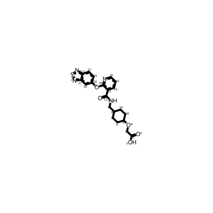 O=C(O)COC1CCC(CNC(=O)c2cccnc2Oc2ccc3nsnc3c2)CC1